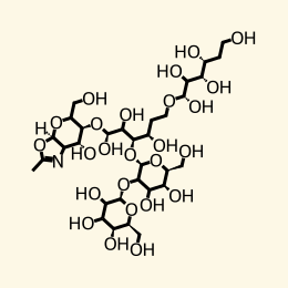 CC1=NC2[C@@H](O1)OC(CO)[C@@H](O[C@H](O)C(O)[C@H](O[C@H]1O[C@@H](CO)[C@@H](O)C(O)C1O[C@H]1O[C@@H](CO)[C@@H](O)C(O)C1O)[C@H](O)CCO[C@@H](O)C(O)[C@@H](O)[C@H](O)CCO)[C@@H]2O